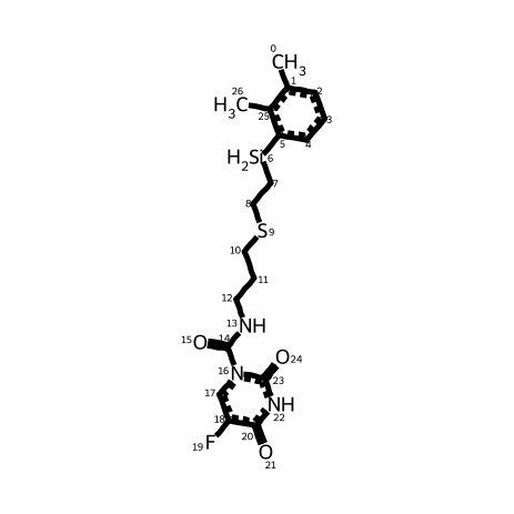 Cc1cccc([SiH2]CCSCCCNC(=O)n2cc(F)c(=O)[nH]c2=O)c1C